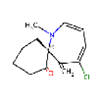 C=C1C(Cl)=CC=CN(C)[C@]12CCCCC2=O